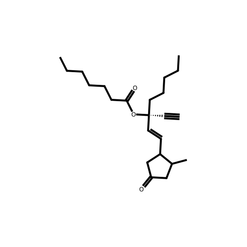 C#C[C@@](C=CC1CC(=O)CC1C)(CCCCC)OC(=O)CCCCCC